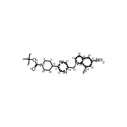 CC(C)(C)OC(=O)N1CCC(c2cnc(Cn3ccc4cc(N)cc(F)c43)cn2)CC1